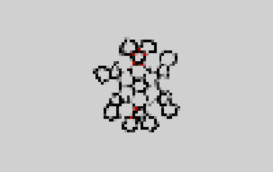 C1=CC2SC3=C(C2C=C1)N(c1csc2ccccc12)c1c2c(c4c5c1N(c1csc6ccccc16)c1sc6ccccc6c1B5c1sc5ccccc5c1N4c1csc4ccccc14)N(c1csc4ccccc14)c1c(sc4ccccc14)B32